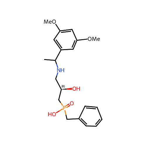 COc1cc(OC)cc(C(C)NC[C@@H](O)CP(=O)(O)Cc2ccccc2)c1